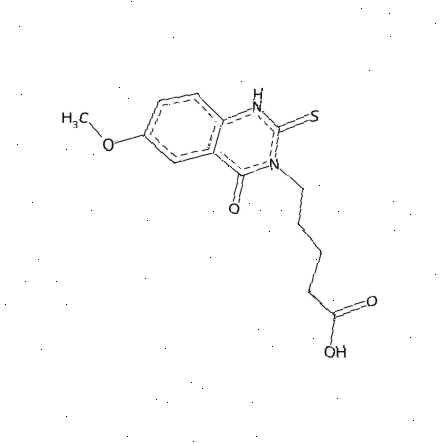 COc1ccc2[nH]c(=S)n(CCCCC(=O)O)c(=O)c2c1